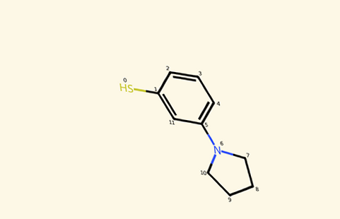 Sc1cccc(N2CCCC2)c1